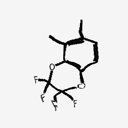 Cc1ccc2c(c1C)OC(F)(F)C(F)(F)O2